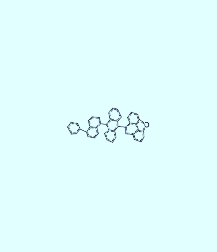 c1ccc(-c2cccc3c(-c4c5ccccc5c(-c5cc6cccc7oc8cccc5c8c67)c5ccccc45)cccc23)cc1